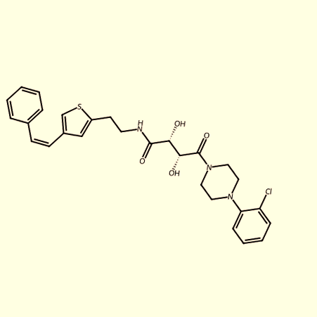 O=C(NCCc1cc(/C=C\c2ccccc2)cs1)[C@H](O)[C@@H](O)C(=O)N1CCN(c2ccccc2Cl)CC1